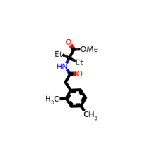 CCC(CC)(NC(=O)Cc1ccc(C)cc1C)C(=O)OC